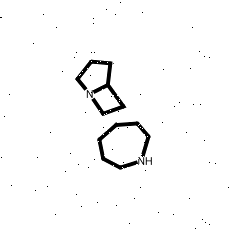 [CH]1CCCNCC1.[CH]1CCN2CCC12